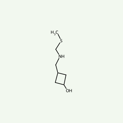 CSCNCC1CC(O)C1